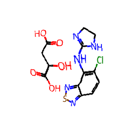 Clc1ccc2nsnc2c1NC1=NCCN1.O=C(O)CC(O)C(=O)O